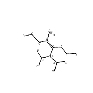 CCCC([SiH3])=C(CCC)N(C(C)C)C(C)C